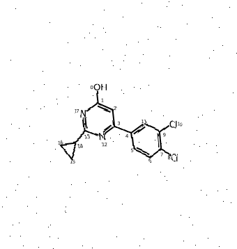 Oc1cc(-c2ccc(Cl)c(Cl)c2)nc(C2CC2)n1